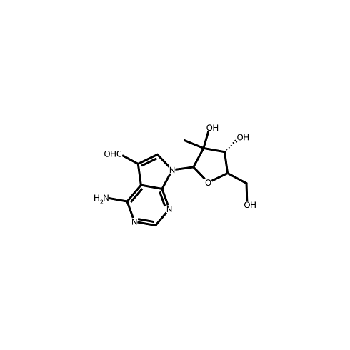 CC1(O)C(n2cc(C=O)c3c(N)ncnc32)OC(CO)[C@H]1O